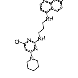 Clc1ccc2c(NCCCNc3nc(Cl)cc(N4CCCCC4)n3)ccnc2c1